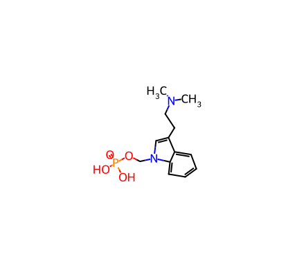 CN(C)CCc1cn(COP(=O)(O)O)c2ccccc12